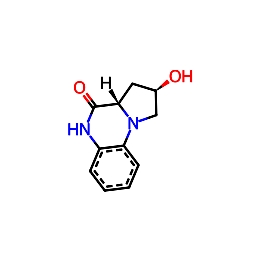 O=C1Nc2ccccc2N2C[C@H](O)C[C@@H]12